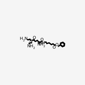 NCCN(CCN)C(=O)CC[C@H](N)C(=O)NCCCCCC(=O)OCc1ccccc1